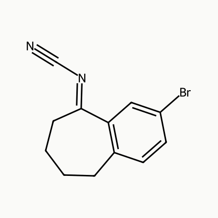 N#C/N=C1\CCCCc2ccc(Br)cc21